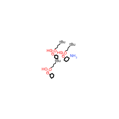 CC(C)(C)CCCCOB(O)Oc1ccccc1.CC(C)(C)CCCCOB(O)Oc1ccccc1.CC(C)(C)CCCCOB(O)Oc1ccccc1.N